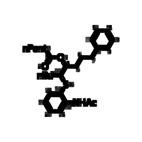 CCCCCC(=O)OC(CCCc1ccccc1)C(CCCC)Sc1ccccc1NC(C)=O